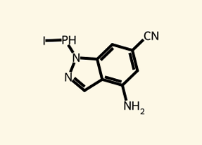 N#Cc1cc(N)c2cnn(PI)c2c1